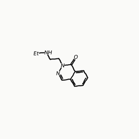 CCNCCn1ncc2ccccc2c1=O